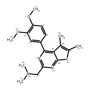 COc1ccc(-c2nc(CN(C)C)nc3sc(C)c(C)c23)cc1OC